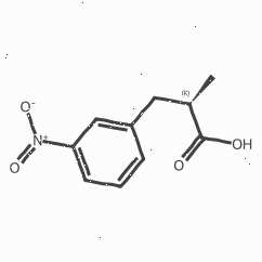 C[C@H](Cc1cccc([N+](=O)[O-])c1)C(=O)O